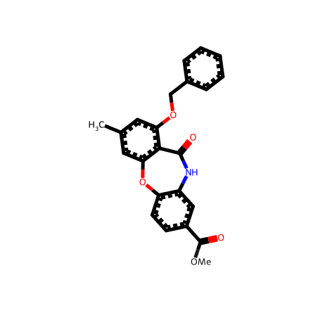 COC(=O)c1ccc2c(c1)NC(=O)c1c(OCc3ccccc3)cc(C)cc1O2